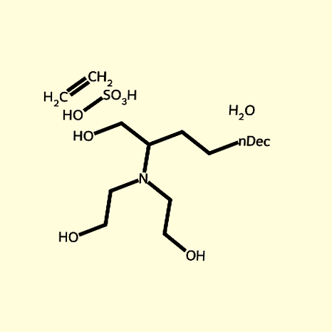 C=C.CCCCCCCCCCCCC(CO)N(CCO)CCO.O.O=S(=O)(O)O